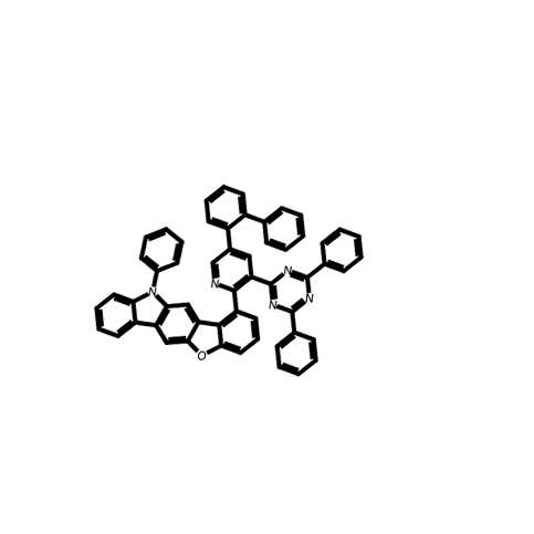 c1ccc(-c2nc(-c3ccccc3)nc(-c3cc(-c4ccccc4-c4ccccc4)cnc3-c3cccc4oc5cc6c7ccccc7n(-c7ccccc7)c6cc5c34)n2)cc1